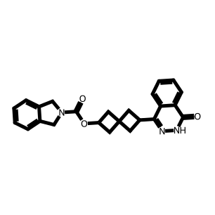 O=C(OC1CC2(C1)CC(c1n[nH]c(=O)c3ccccc13)C2)N1Cc2ccccc2C1